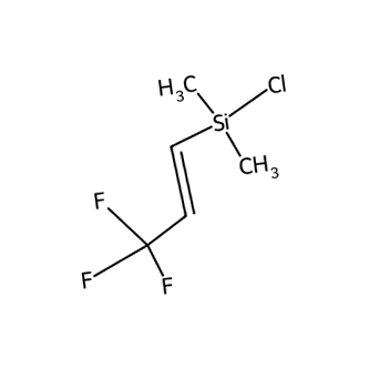 C[Si](C)(Cl)C=CC(F)(F)F